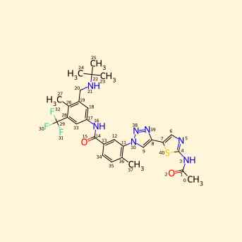 CC(=O)Nc1ncc(-c2cn(-c3cc(C(=O)Nc4cc(CNC(C)(C)C)c(C)c(C(F)(F)F)c4)ccc3C)nn2)s1